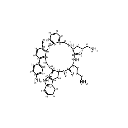 CN1C(=O)C(CCCN)NC(=O)C(CCCN)NCc2cccnc2Sc2c(F)ccc(-c3ccc(P)cc3)c2CNC(=O)C1Cc1c[nH]c2c1CCC=C2